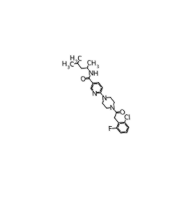 CC(C)CC(C)NC(=O)c1ccc(N2CCN(C(=O)Cc3c(F)cccc3Cl)CC2)nc1